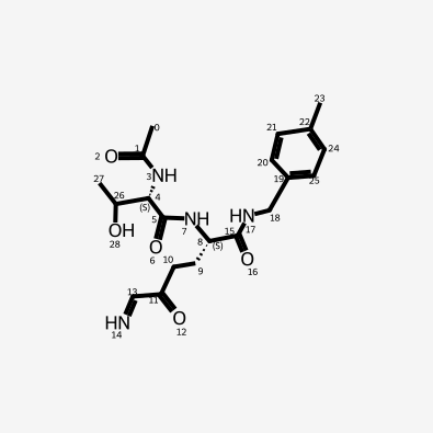 CC(=O)N[C@H](C(=O)N[C@@H](CCC(=O)C=N)C(=O)NCc1ccc(C)cc1)C(C)O